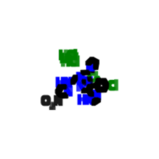 Cl.Cl.Cl.O=[N+]([O-])c1ccc(NCCN(CCN2CCCC2)c2ncc(-c3ncc[nH]3)c(-c3ccc(Cl)cc3Cl)n2)nc1